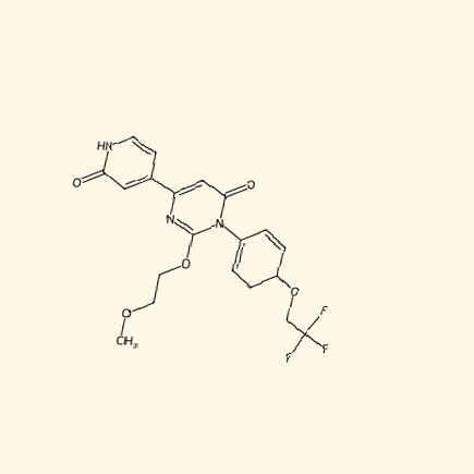 COCCOc1nc(-c2cc[nH]c(=O)c2)cc(=O)n1C1=CCC(OCC(F)(F)F)C=C1